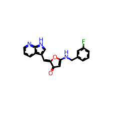 O=C1C=C(NCc2cccc(F)c2)OC1=Cc1c[nH]c2ncccc12